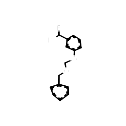 CCC(O)c1cccc(OCOCc2ccccc2)c1